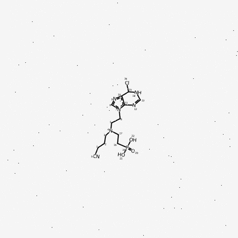 N#CCCCN(CCn1cnc2c1N=CNC2Cl)CCP(=O)(O)O